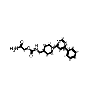 NC(=O)COC(=O)NCC1CCN(c2cc(-c3ccccc3)ncn2)CC1